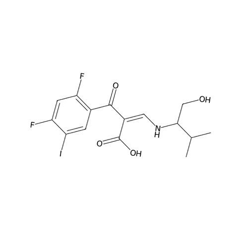 CC(C)C(CO)NC=C(C(=O)O)C(=O)c1cc(I)c(F)cc1F